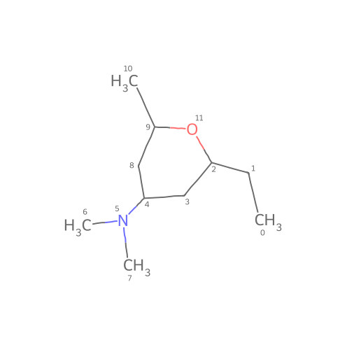 CCC1CC(N(C)C)CC(C)O1